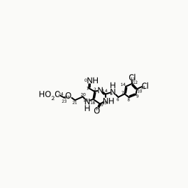 N=Cc1nc(NCc2ccc(Cl)c(Cl)c2)[nH]c(=O)c1NCCOCC(=O)O